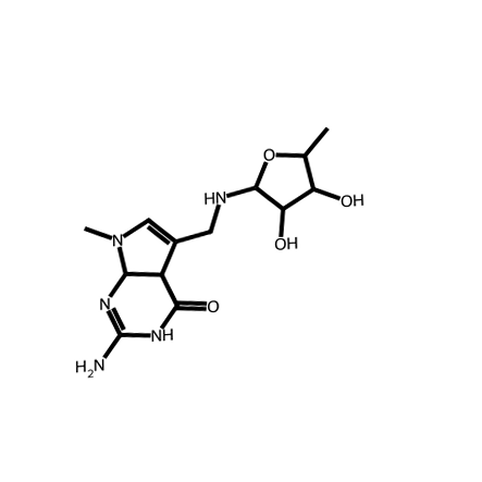 CC1OC(NCC2=CN(C)C3N=C(N)NC(=O)C23)C(O)C1O